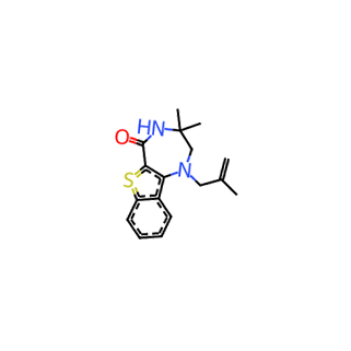 C=C(C)CN1CC(C)(C)NC(=O)c2sc3ccccc3c21